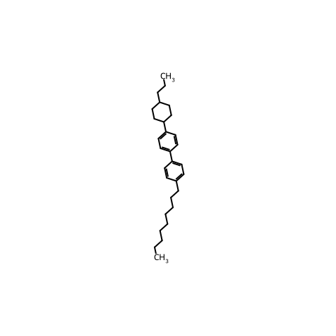 CCCCCCCCCc1ccc(-c2ccc(C3CCC(CCC)CC3)cc2)cc1